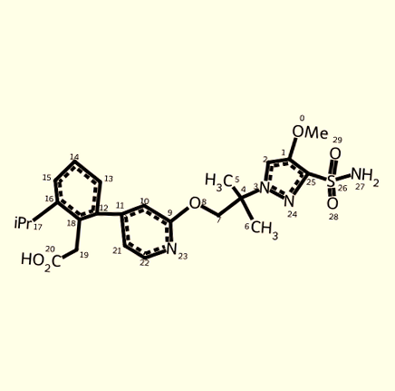 COc1cn(C(C)(C)COc2cc(-c3cccc(C(C)C)c3CC(=O)O)ccn2)nc1S(N)(=O)=O